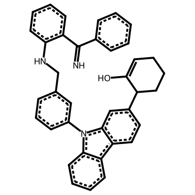 N=C(c1ccccc1)c1ccccc1NCc1cccc(-n2c3ccccc3c3ccc(C4CCCC=C4O)cc32)c1